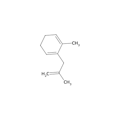 C=C(C)CC1=CCCC=C1C